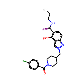 N#CCCNC(=P)c1ccc2nn(CC3CCN(C(=O)c4ccc(Cl)cc4)CC3)cc2c1O